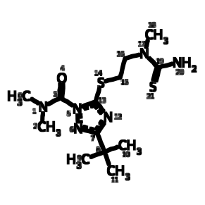 CN(C)C(=O)n1nc(C(C)(C)C)nc1SCCN(C)C(N)=S